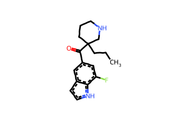 CCCC1(C(=O)c2cc(F)c3[nH]ccc3c2)CCCNC1